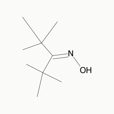 CC(C)(C)C(=NO)C(C)(C)C